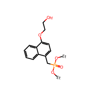 CCOP(=O)(Cc1ccc(OCCO)c2ccccc12)OCC